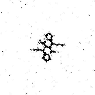 CCCCCCCc1c2c(=O)n3cccc3c(CCCCCCC)c2c(=O)n2cccc12